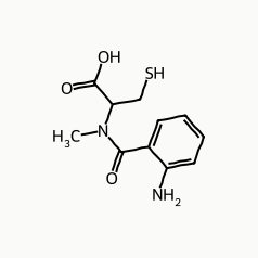 CN(C(=O)c1ccccc1N)C(CS)C(=O)O